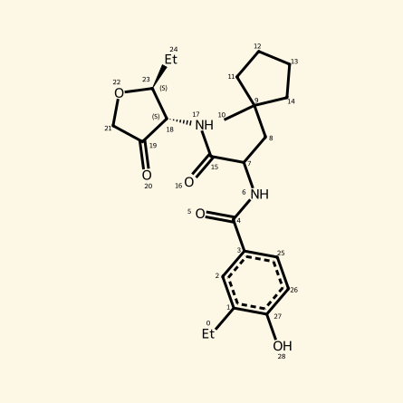 CCc1cc(C(=O)NC(CC2(C)CCCC2)C(=O)N[C@@H]2C(=O)CO[C@H]2CC)ccc1O